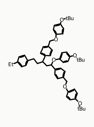 CCc1ccc(CCC(CC(Oc2ccc(OC(C)(C)C)cc2)c2ccc(COc3ccc(OC(C)(C)C)cc3)cc2)c2ccc(COc3ccc(OC(C)(C)C)cc3)cc2)cc1